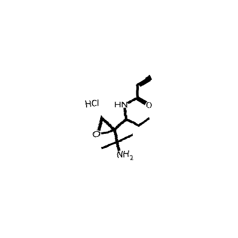 C=CC(=O)NC(CC)C1(C(C)(C)N)CO1.Cl